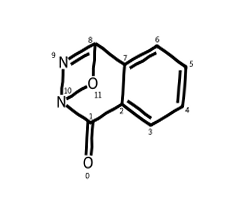 O=c1c2ccccc2c2nn1o2